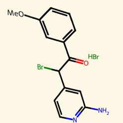 Br.COc1cccc(C(=O)C(Br)c2ccnc(N)c2)c1